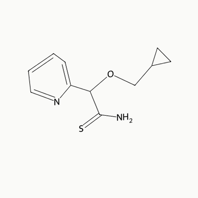 NC(=S)C(OCC1CC1)c1ccccn1